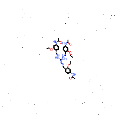 CCOc1cc(NC(C)=O)ccc1C=NN=C(NN=Cc1ccc(NC(C)=O)cc1OCC)NN=Cc1ccc(NC(C)=O)cc1OCC